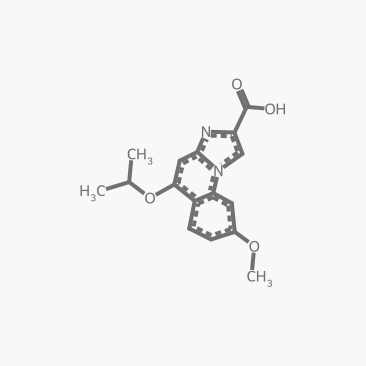 COc1ccc2c(OC(C)C)cc3nc(C(=O)O)cn3c2c1